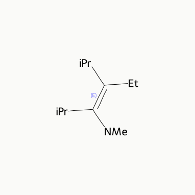 CC/C(=C(\NC)C(C)C)C(C)C